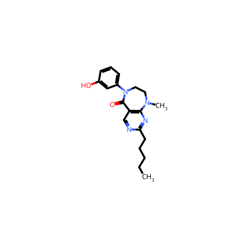 CCCCCc1ncc2c(n1)N(C)CCN(c1cccc(O)c1)C2=O